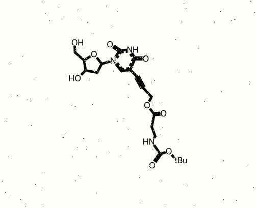 CC(C)(C)OC(=O)NCCC(=O)OCC#Cc1cn(C2CC(O)C(CO)O2)c(=O)[nH]c1=O